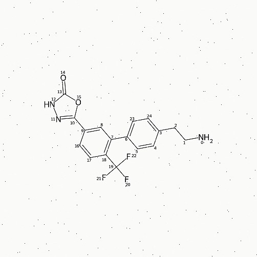 NCCc1ccc(-c2cc(-c3n[nH]c(=O)o3)ccc2C(F)(F)F)cc1